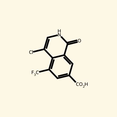 O=C(O)c1cc(C(F)(F)F)c2c(Cl)c[nH]c(=O)c2c1